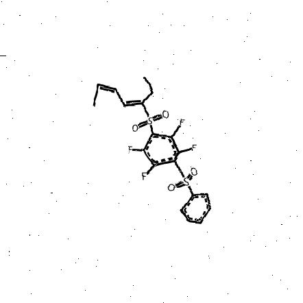 C/C=C\C=C(/CC)S(=O)(=O)c1c(F)c(F)c(S(=O)(=O)c2ccccc2)c(F)c1F